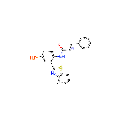 O=C(/C=C/c1ccccc1)Nc1ccc(P)cc1-c1nc2ccccc2s1